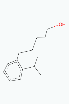 CC(C)c1ccccc1CCCCCO